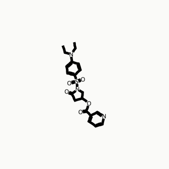 CCN(CC)c1ccc(S(=O)(=O)N2CC(OC(=O)c3cccnc3)CC2=O)cc1